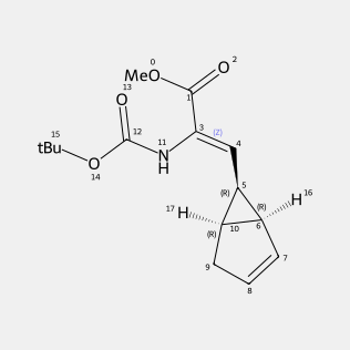 COC(=O)/C(=C/[C@H]1[C@H]2C=CC[C@H]21)NC(=O)OC(C)(C)C